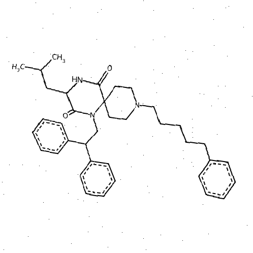 CC(C)CC1NC(=O)C2(CCN(CCCCCc3ccccc3)CC2)N(CC(c2ccccc2)c2ccccc2)C1=O